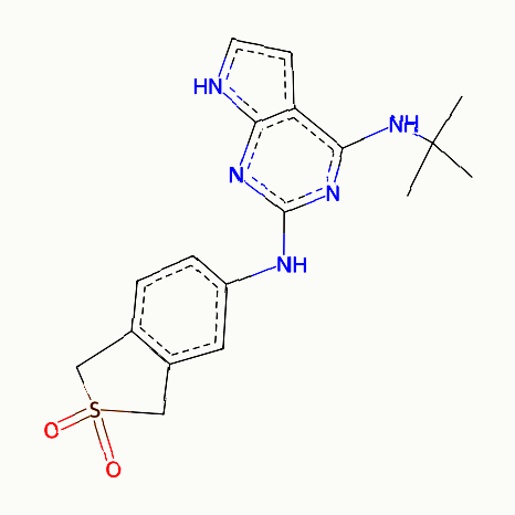 CC(C)(C)Nc1nc(Nc2ccc3c(c2)CS(=O)(=O)C3)nc2[nH]ccc12